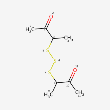 CC(=O)C(C)SSSC(C)C(C)=O